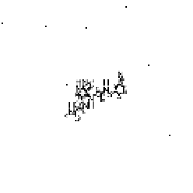 CNC(=O)c1cnc(-c2cnc3[nH]ccc3c2N[C@H]2C[C@@H](NSc3cccc(C#N)c3)C2)o1